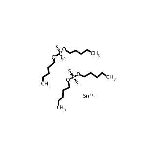 CCCCCOP(=S)([S-])OCCCCC.CCCCCOP(=S)([S-])OCCCCC.[Sn+2]